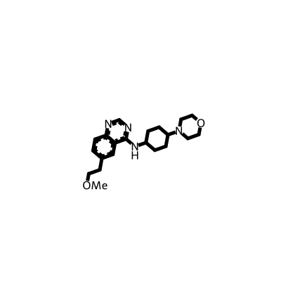 COCCc1ccc2ncnc(NC3CCC(N4CCOCC4)CC3)c2c1